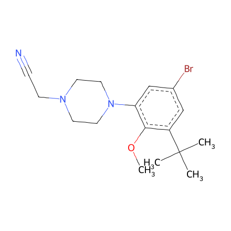 COc1c(N2CCN(CC#N)CC2)cc(Br)cc1C(C)(C)C